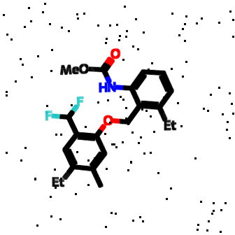 CCc1cc(C(F)F)c(OCc2c(CC)cccc2NC(=O)OC)cc1C